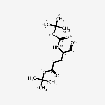 CC(C)(C)OC(=O)CCC(C=O)NC(=O)OC(C)(C)C